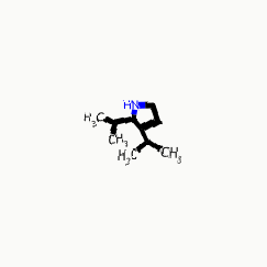 CC(C)C1=CCNC1C(C)C